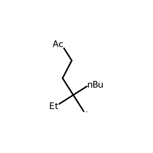 [CH2]C(CC)(CCCC)CCC(C)=O